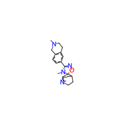 CN1CCc2cc(C3=NO[C@@]4(CN5CCC4CC5)N3C)ccc2C1